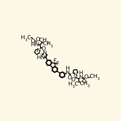 CCOC(=O)NC(C(=O)N1CCC[C@H]1c1ncc(-c2ccc3c(c2)C(F)(F)c2cc(-c4cccc(NC(=O)[C@@H]5CCCN5C(=O)[C@@H](NC(=O)OCC)C(C)C)c4)ccc2-3)[nH]1)C(C)C